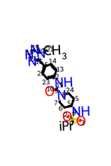 CC(C)S(=O)(=O)NC1CCN(C(=O)Nc2ccc(-c3nnnn3C)cc2)CC1